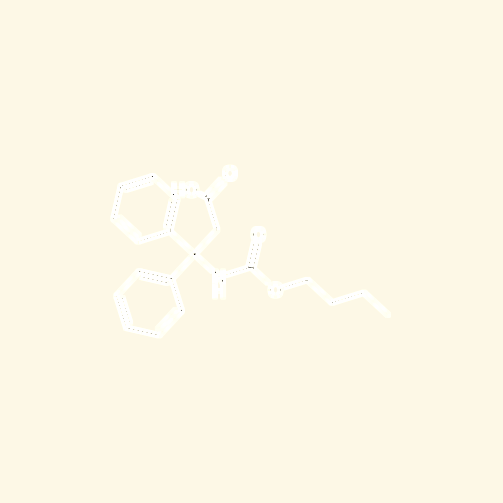 CCCCOC(=O)NC(CC(=O)O)(c1ccccc1)c1ccccc1